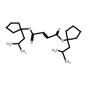 CC(C)CC1(OC(=O)/C=C/C(=O)OC2(CC(C)C)CCCC2)CCCC1